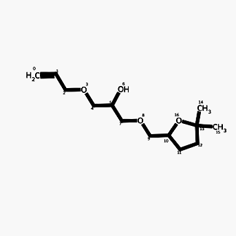 C=CCOCC(O)COCC1CCC(C)(C)O1